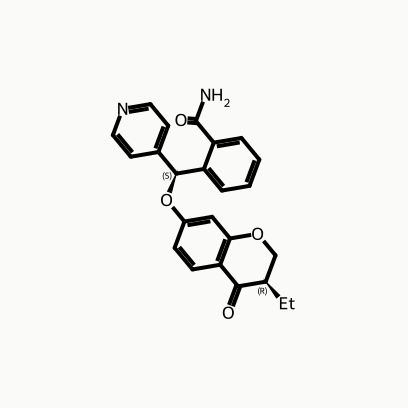 CC[C@@H]1COc2cc(O[C@@H](c3ccncc3)c3ccccc3C(N)=O)ccc2C1=O